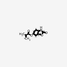 C=C(C)C(=O)Oc1ccc2[nH]c(=O)oc2c1